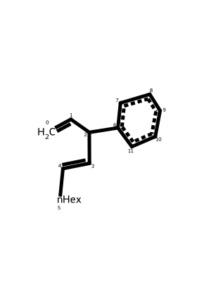 C=CC(C=CCCCCCC)c1ccccc1